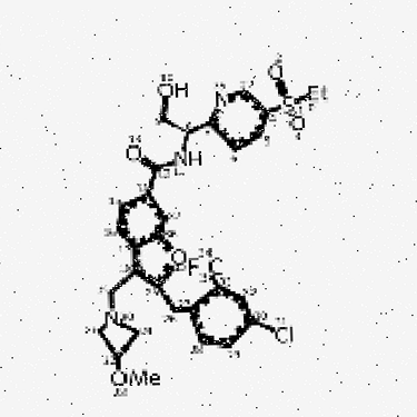 CCS(=O)(=O)c1ccc([C@H](CO)NC(=O)c2ccc3c(CN4CC(OC)C4)c(Cc4ccc(Cl)cc4C(F)(F)F)oc3c2)nc1